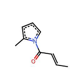 C/C=C/C(=O)n1cccc1C